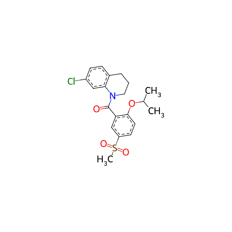 CC(C)Oc1ccc(S(C)(=O)=O)cc1C(=O)N1CCCc2ccc(Cl)cc21